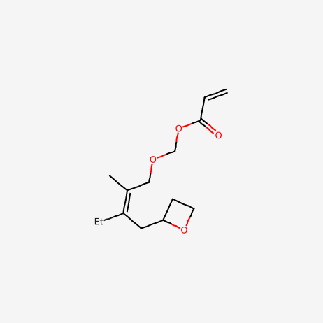 C=CC(=O)OCOCC(C)=C(CC)CC1CCO1